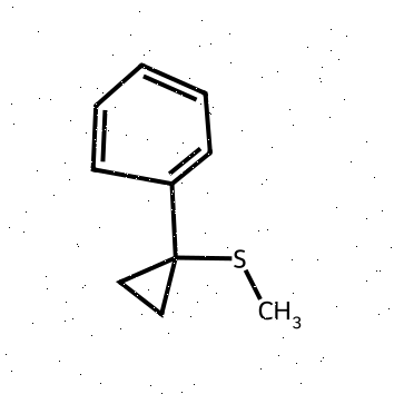 CSC1(c2ccccc2)CC1